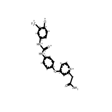 NC(=O)Cc1cc(Oc2ccc(NC(=O)Nc3ccc(Cl)c(C(F)(F)F)c3)cc2)ccn1